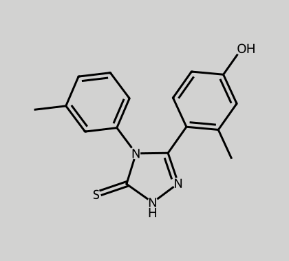 Cc1cccc(-n2c(-c3ccc(O)cc3C)n[nH]c2=S)c1